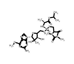 COc1nc(N)nc2c1ncn2[C@@H]1OC(CO[P@](=O)(N[C@@H](C)C(=O)OC(C)C)SCC2C(=O)N(C)C(=O)N2C)[C@@H](O)[C@@]1(C)O